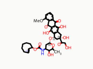 COc1cccc2c1C(=O)c1c(O)c3c(c(O)c1C2=O)C[C@@](O)(C(=O)CO)C[C@@H]3O[C@H]1CC(NC(=O)OC2/C=C/CCCCC2)C(O)C(C)O1